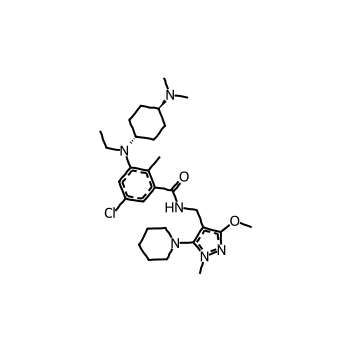 CCN(c1cc(Cl)cc(C(=O)NCc2c(OC)nn(C)c2N2CCCCC2)c1C)[C@H]1CC[C@H](N(C)C)CC1